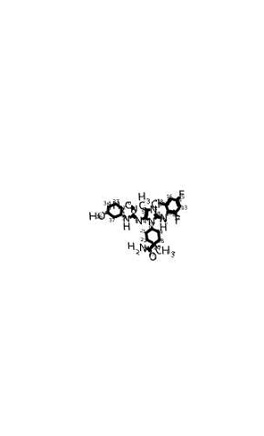 C=N/C(=N\c1c(C)nc(Nc2c(F)cc(F)cc2Cl)n1[C@H]1CC[C@@](C)(C(N)=O)CC1)N[C@@H]1CCC[C@H](O)C1